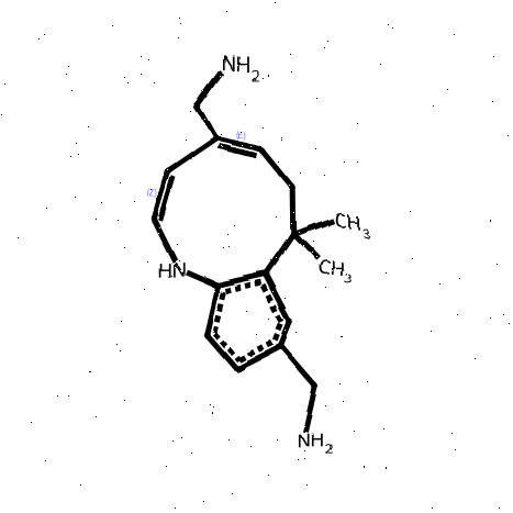 CC1(C)C/C=C(CN)\C=C/Nc2ccc(CN)cc21